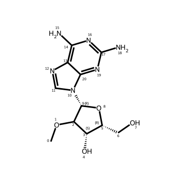 COC1[C@@H](O)[C@@H](CO)O[C@H]1n1cnc2c(N)nc(N)nc21